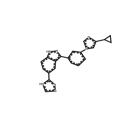 c1cc(-c2n[nH]c3ccc(-c4nnc[nH]4)cc23)cc(-n2cnc(C3CC3)c2)c1